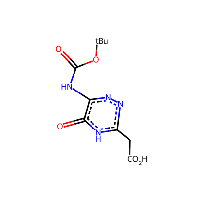 CC(C)(C)OC(=O)Nc1nnc(CC(=O)O)[nH]c1=O